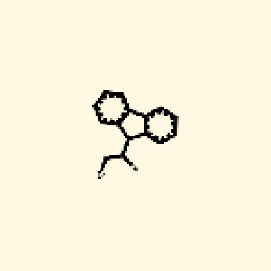 BrCC(Br)C1c2ccccc2-c2ccccc21